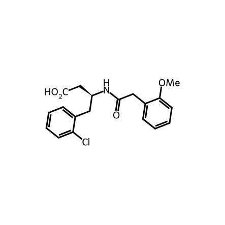 COc1ccccc1CC(=O)N[C@H](CC(=O)O)Cc1ccccc1Cl